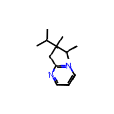 CC(C)C(C)(Cc1ncccn1)C(C)C